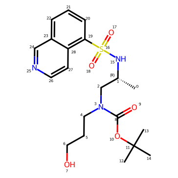 C[C@H](CN(CCCO)C(=O)OC(C)(C)C)NS(=O)(=O)c1cccc2cnccc12